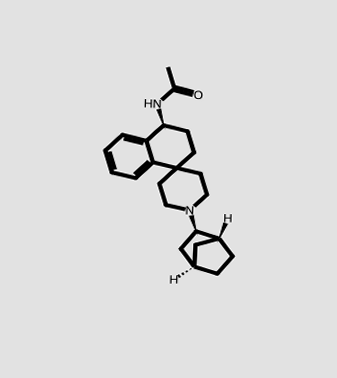 CC(=O)N[C@H]1CCC2(CCN([C@@H]3C[C@@H]4CC[C@@H]3C4)CC2)c2ccccc21